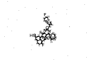 C#Cc1c(F)ccc2cc(O)cc(-c3nc(OC)c4c(N5CC=CCC(C)C5)nc(OCC5(CN6CCC(F)CC6)CC5)nc4c3F)c12